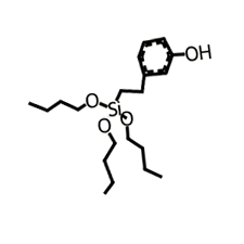 CCCCO[Si](CCc1cccc(O)c1)(OCCCC)OCCCC